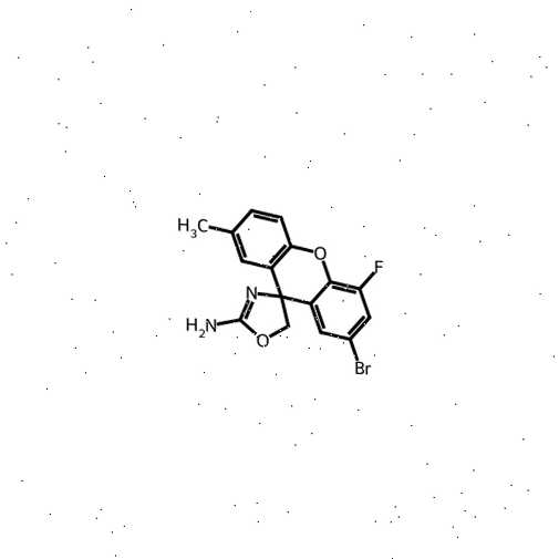 Cc1ccc2c(c1)C1(COC(N)=N1)c1cc(Br)cc(F)c1O2